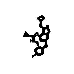 O=C(NCc1cc(F)ccc1Oc1ccc2c(cnn2CC2CCC2)c1)C1CC1